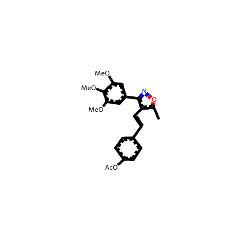 COc1cc(-c2noc(C)c2/C=C/c2ccc(OC(C)=O)cc2)cc(OC)c1OC